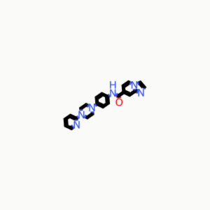 O=C(Nc1ccc(N2CCN(c3ccccn3)CC2)cc1)c1ccn2ccnc2c1